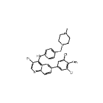 CCc1cnc2ccc(-c3cc(Cl)c(O)c(Cl)c3)cc2c1Nc1ccc(CN2CCN(C)CC2)cc1